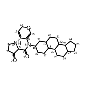 O=C1CCNC1C(=O)N(C1=COCC=C1)C1CCC2C(CCC3C4CCCC4CCC23)C1